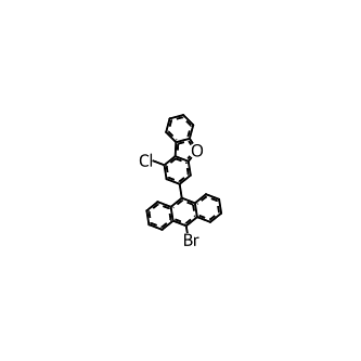 Clc1cc(-c2c3ccccc3c(Br)c3ccccc23)cc2oc3ccccc3c12